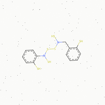 Sc1ccccc1CN(S)SSN(S)c1ccccc1S